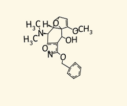 COC1=CC2C[C@H]3[C@H](N(C)C)c4onc(OCc5ccccc5)c4C(O)C13O2